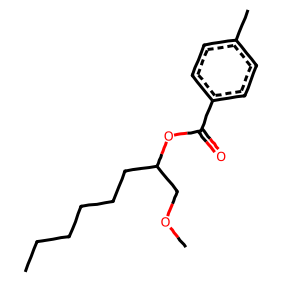 CCCCCCC(COC)OC(=O)c1ccc(C)cc1